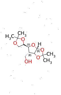 CC1(C)OCC([C@H]2O[C@@H]3OC(C)(C)OC3[C@@H]2CO)O1